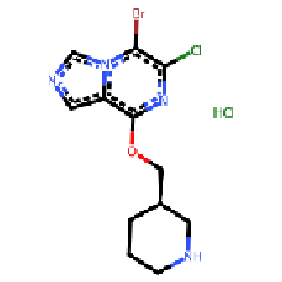 Cl.Clc1nc(OC[C@@H]2CCCNC2)c2cncn2c1Br